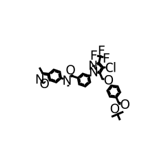 Cc1noc2cc(N(C)C(=O)c3cccc(-n4nc(C(F)(F)F)c(Cl)c4COc4ccc(C(=O)OC(C)(C)C)cc4)c3)ccc12